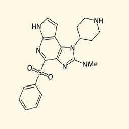 CNc1nc2c(S(=O)(=O)c3ccccc3)nc3[nH]ccc3c2n1C1CCNCC1